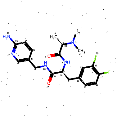 CC(C)N(C)[C@@H](C)C(=O)N[C@@H](Cc1ccc(F)c(F)c1)C(=O)NCc1ccc(N)nc1